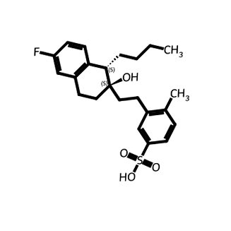 CCCC[C@H]1c2ccc(F)cc2CC[C@@]1(O)CCc1cc(S(=O)(=O)O)ccc1C